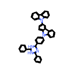 c1ccc(C2=NC(c3ccc(-n4c5ccccc5c5cc(-n6c7ccccc7c7ccccc76)ccc54)cc3)NC(c3ccccc3)N2)cc1